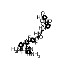 Nc1ncnc2c1ncn2Cc1cc(-c2cc(F)c(OCC(=O)NCCCNc3cccc4c3C(=O)N(C3CCC(=O)NC3=O)C4=O)cc2F)ncc1N1CCC[C@](N)([C@H](O)C(F)F)C1